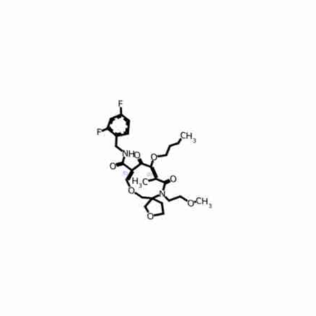 CCCCO/C1=C(/C)C(=O)N(CCOC)C2(CCOC2)CO/C=C(/C(=O)NCc2ccc(F)cc2F)C1=O